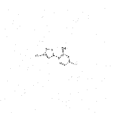 CC(C)c1ccc(C2C=[N+](C(C)(C)C)N=N2)c(O)c1